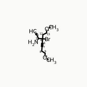 C#CC(N)C(Br)(C#CCCOC)CCOC